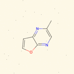 Cc1cnc2occc2n1